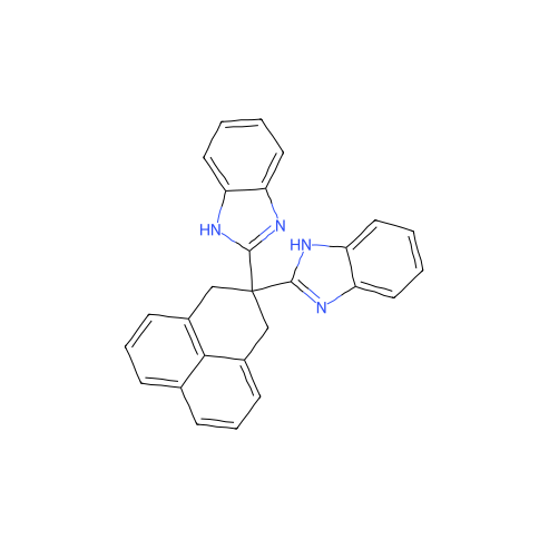 c1cc2c3c(cccc3c1)CC(c1nc3ccccc3[nH]1)(c1nc3ccccc3[nH]1)C2